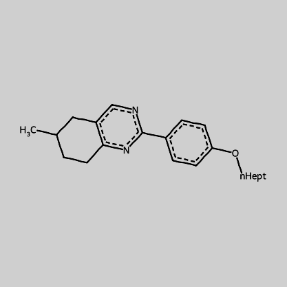 CCCCCCCOc1ccc(-c2ncc3c(n2)CCC(C)C3)cc1